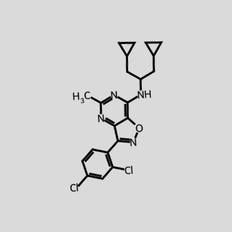 Cc1nc(NC(CC2CC2)CC2CC2)c2onc(-c3ccc(Cl)cc3Cl)c2n1